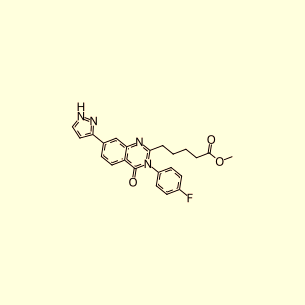 COC(=O)CCCCc1nc2cc(-c3cc[nH]n3)ccc2c(=O)n1-c1ccc(F)cc1